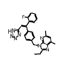 CCc1nc2c(C)cc(C)nc2n1Cc1ccc(/C(=C\c2nnn[nH]2)c2ccccc2F)cc1